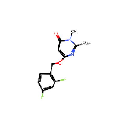 CSc1nc(OCc2ccc(F)cc2F)cc(=O)n1C